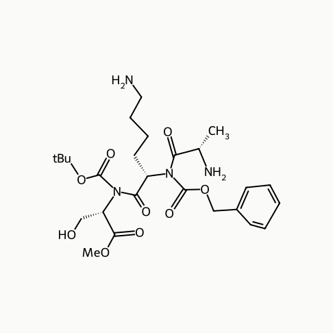 COC(=O)[C@H](CO)N(C(=O)OC(C)(C)C)C(=O)[C@H](CCCCN)N(C(=O)OCc1ccccc1)C(=O)[C@H](C)N